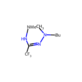 CCC(C)N(C)/N=C(\NNC)C(F)(F)F